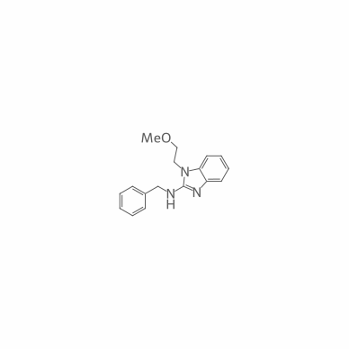 COCCn1c(NCc2ccccc2)nc2ccccc21